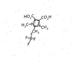 Cc1n(C)c(C(=O)O)c(C(=O)O)[n+]1C.F[B-](F)(F)F